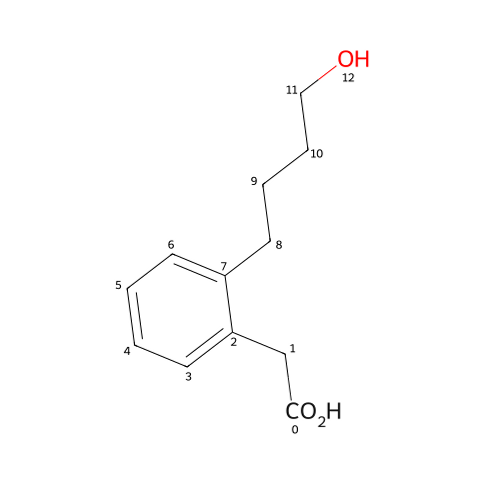 O=C(O)Cc1ccccc1CCCCO